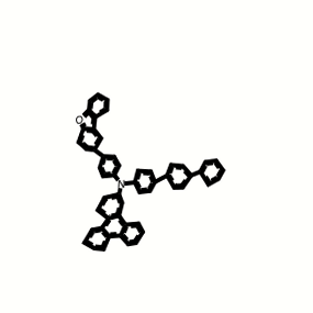 c1ccc(-c2ccc(-c3ccc(N(c4ccc(-c5ccc6oc7ccccc7c6c5)cc4)c4ccc5c6ccccc6c6ccccc6c5c4)cc3)cc2)cc1